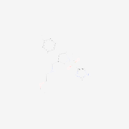 COCCNCC1C[N@+](C)(S(=O)(=O)c2c[nH]cn2)C[C@H]1c1ccc(F)cc1